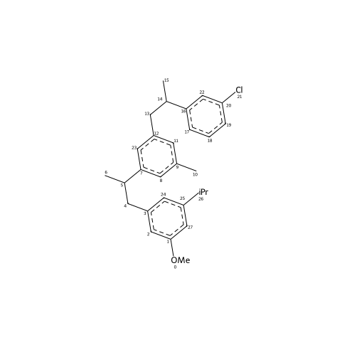 COc1cc(CC(C)c2cc(C)cc(CC(C)c3cccc(Cl)c3)c2)cc(C(C)C)c1